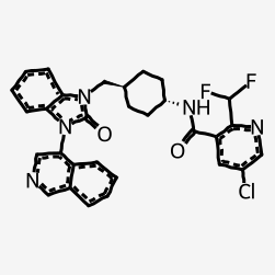 O=C(N[C@H]1CC[C@H](Cn2c(=O)n(-c3cncc4ccccc34)c3ccccc32)CC1)c1cc(Cl)cnc1C(F)F